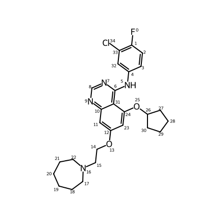 Fc1ccc(Nc2ncnc3cc(OCCN4CCCCCC4)cc(OC4CCCC4)c23)cc1Cl